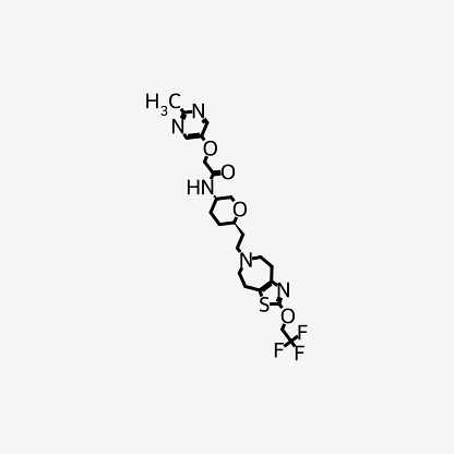 Cc1ncc(OCC(=O)N[C@H]2CC[C@H](CCN3CCc4nc(OCC(F)(F)F)sc4CC3)OC2)cn1